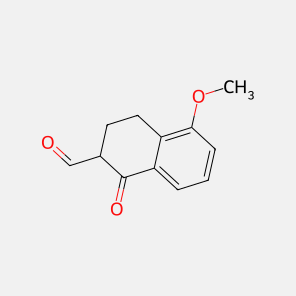 COc1cccc2c1CCC(C=O)C2=O